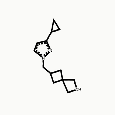 c1cn(CC2CC3(CNC3)C2)nc1C1CC1